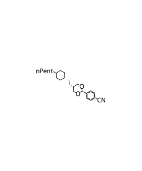 CCCCC[C@H]1CC[C@H](CC[C@H]2CO[C@H](c3ccc(C#N)cc3)OC2)CC1